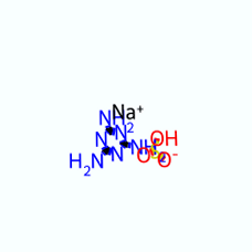 Nc1nc(N)nc(N)n1.O=S([O-])O.[Na+]